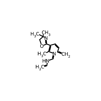 C=C\C=C/C(C1=NC(C)(C)CO1)=C(C)\N=C/NC=C